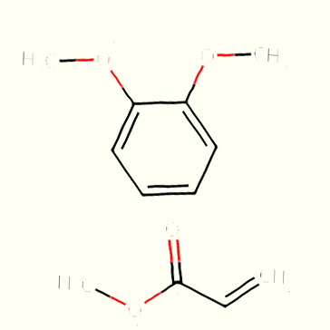 C=CC(=O)OC.COc1ccccc1OC